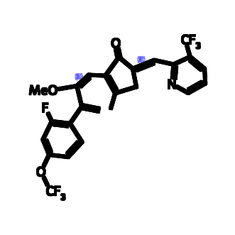 C=C(/C(=C\C1=C(C)C/C(=C\c2ncccc2C(F)(F)F)C1=O)OC)c1ccc(OC(F)(F)F)cc1F